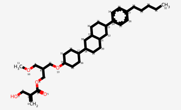 C=C(CO)C(=O)OCC(COC)COC1CCC(C2CCC3CC(c4ccc(CCCCC)cc4)CCC3C2)CC1